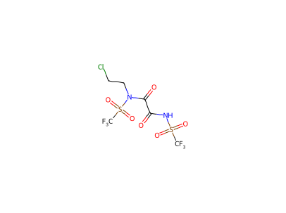 O=C(NS(=O)(=O)C(F)(F)F)C(=O)N(CCCl)S(=O)(=O)C(F)(F)F